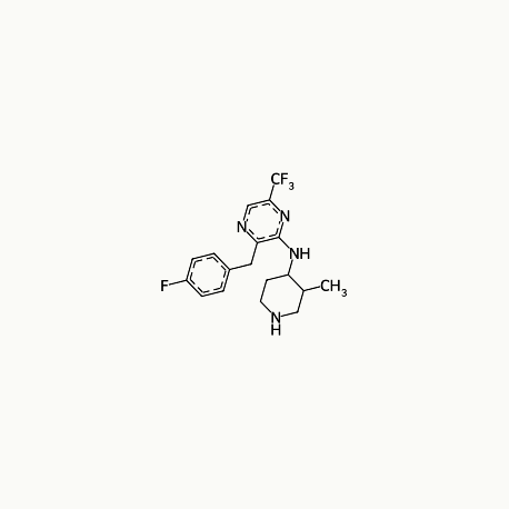 CC1CNCCC1Nc1nc(C(F)(F)F)cnc1Cc1ccc(F)cc1